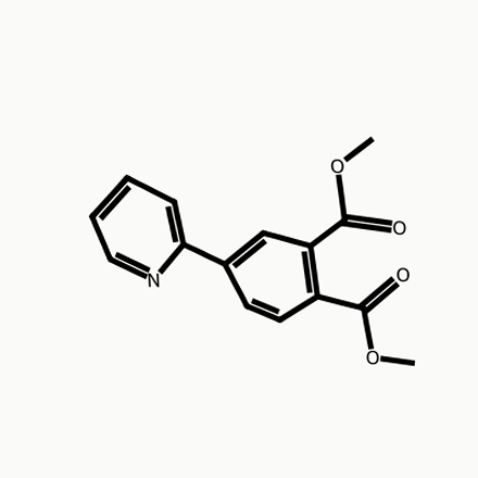 COC(=O)c1ccc(-c2ccccn2)cc1C(=O)OC